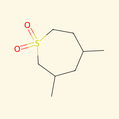 CC1CCS(=O)(=O)CC(C)C1